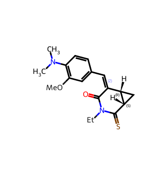 CCN1C(=O)/C(=C\c2ccc(N(C)C)c(OC)c2)[C@@H]2C[C@@H]2C1=S